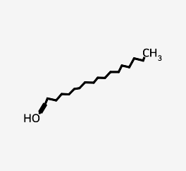 CCCCCCCCCCCCCCCCCC#CO